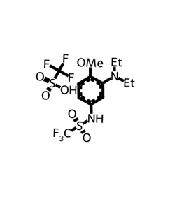 CCN(CC)c1cc(NS(=O)(=O)C(F)(F)F)ccc1OC.O=S(=O)(O)C(F)(F)F